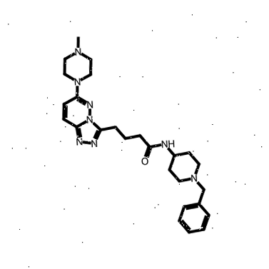 CN1CCN(c2ccc3nnc(CCCC(=O)NC4CCN(Cc5ccccc5)CC4)n3n2)CC1